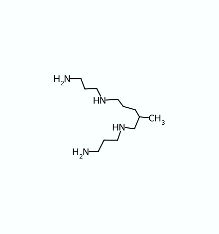 CC(CCCNCCCN)CNCCCN